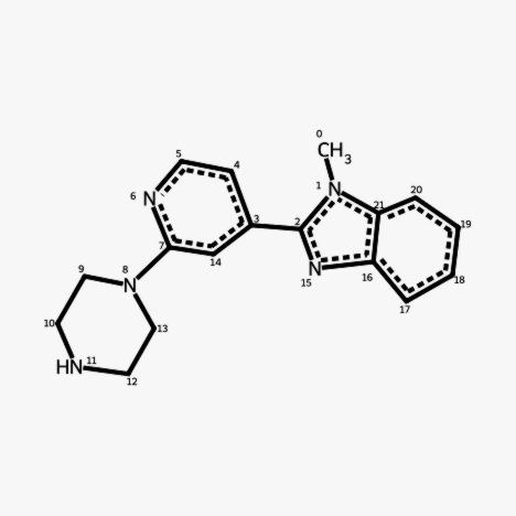 Cn1c(-c2ccnc(N3CCNCC3)c2)nc2ccccc21